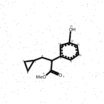 COC(=O)C(CC1CC1)c1cccc(O)c1